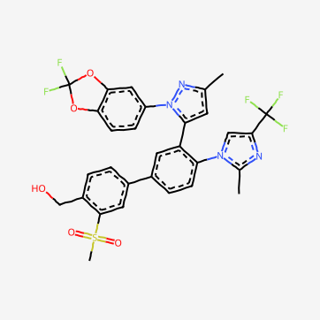 Cc1cc(-c2cc(-c3ccc(CO)c(S(C)(=O)=O)c3)ccc2-n2cc(C(F)(F)F)nc2C)n(-c2ccc3c(c2)OC(F)(F)O3)n1